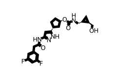 O=C(Cc1cc(F)cc(F)c1)Nc1cc([C@@H]2CC[C@H](OC(=O)NC[C@@H]3C[C@H]3CO)C2)[nH]n1